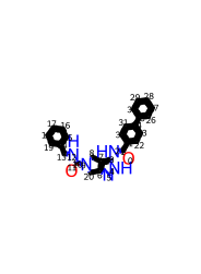 O=C(Nc1[nH]nc2c1CN(C(=O)NCc1ccccc1)C2)c1ccc(-c2ccccc2)cc1